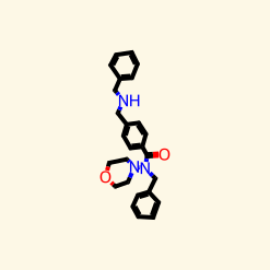 O=C(c1ccc(CNCc2ccccc2)cc1)N(Cc1ccccc1)N1CCOCC1